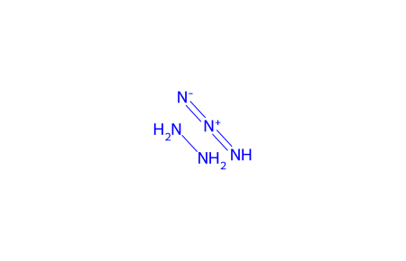 NN.[N-]=[N+]=N